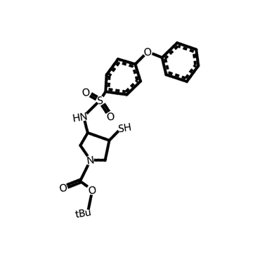 CC(C)(C)OC(=O)N1CC(S)C(NS(=O)(=O)c2ccc(Oc3ccccc3)cc2)C1